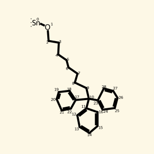 [Sn][O]CCCCCCCCC(c1ccccc1)(c1ccccc1)c1ccccc1